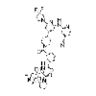 CC1CCCN1C(=O)C(NC(=O)c1cccc(C(=O)N2CCC(c3cc(Nc4cc(C#N)ccn4)nc(N4CCC(F)(F)C4)c3)CC2)c1)C(C)(C)C